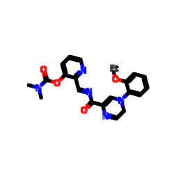 CCOc1ccccc1N1C=C(C(=O)N=Cc2ncccc2OC(=O)N(C)C)N=CC1